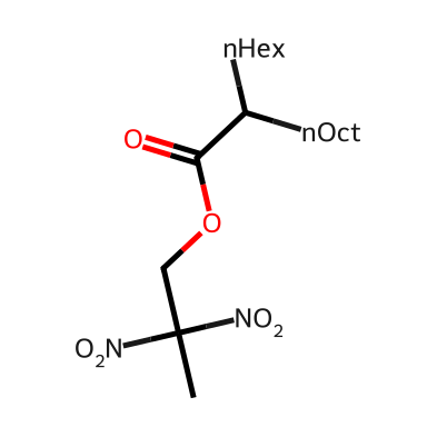 CCCCCCCCC(CCCCCC)C(=O)OCC(C)([N+](=O)[O-])[N+](=O)[O-]